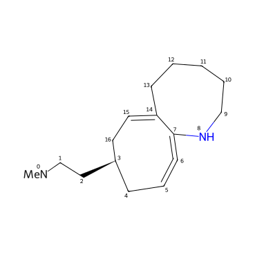 CNCC[C@@H]1CC=C=C2NCCCCC/C2=C/C1